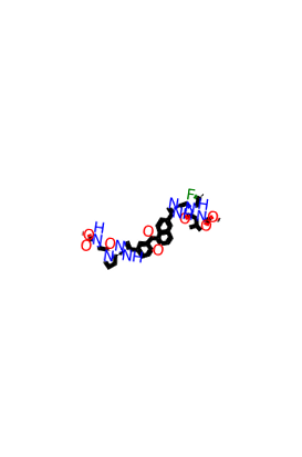 COC(=O)NCC(=O)N1CCC[C@H]1c1ncc(-c2ccc3oc4ccc5cc(-c6cnc(CN(C[C@@H](C)F)C(=O)C(NC(=O)OC)C(C)C)[nH]6)ccc5c4c(=O)c3c2)[nH]1